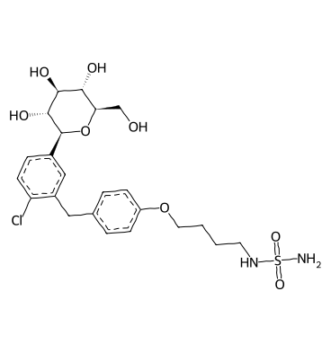 NS(=O)(=O)NCCCCOc1ccc(Cc2cc([C@@H]3O[C@H](CO)[C@@H](O)[C@H](O)[C@H]3O)ccc2Cl)cc1